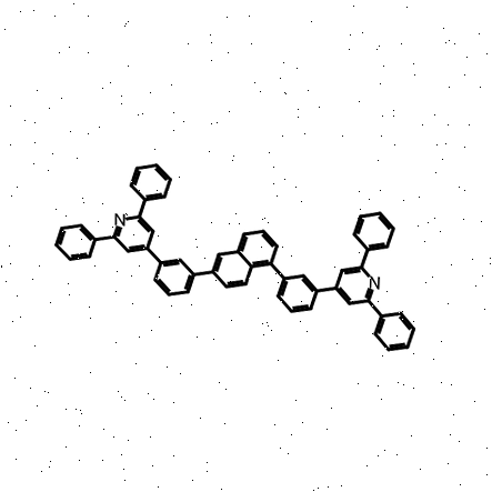 c1ccc(-c2cc(-c3cccc(-c4ccc5c(-c6cccc(-c7cc(-c8ccccc8)nc(-c8ccccc8)c7)c6)cccc5c4)c3)cc(-c3ccccc3)n2)cc1